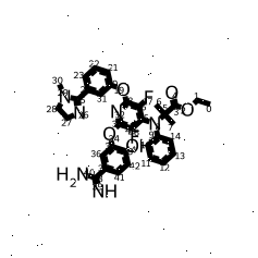 CCOC(=O)C(C)(C)N(c1ccccc1)c1c(F)c(Oc2cccc(C3=NCCN3C)c2)nc(Oc2cc(C(=N)N)ccc2O)c1F